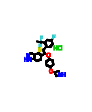 CC(F)(F)c1cc(F)ccc1-c1sc2c(ccc3[nH]ncc32)c1Oc1ccc(OC2CNC2)cc1.Cl